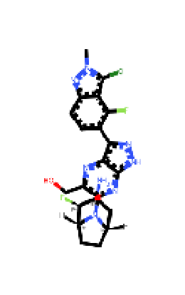 Cn1nc2ccc(-c3n[nH]c4nc(N5[C@H]6CC[C@@H]5[C@@H](F)[C@@H](N)C6)c(CO)nc34)c(F)c2c1Cl